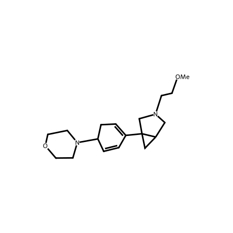 COCCN1CC2CC2(C2=CCC(N3CCOCC3)C=C2)C1